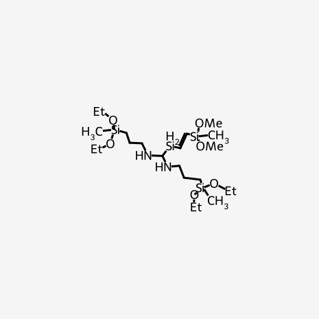 CCO[Si](C)(CCCNC(NCCC[Si](C)(OCC)OCC)[SiH2]C=C[Si](C)(OC)OC)OCC